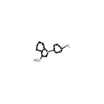 O=C(O)c1cn(-c2ccc(C(F)(F)F)cc2)c2ccccc12